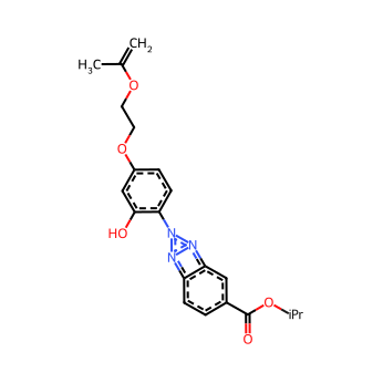 C=C(C)OCCOc1ccc(-n2n3c4ccc(C(=O)OC(C)C)cc4n23)c(O)c1